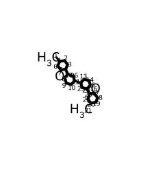 Cc1ccc2c(c1)oc1ccc(-c3ccc4oc5ccc(C)cc5c4c3)cc12